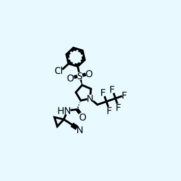 N#CC1(NC(=O)[C@@H]2C[C@@H](S(=O)(=O)c3ccccc3Cl)CN2CC(F)(F)C(F)(F)F)CC1